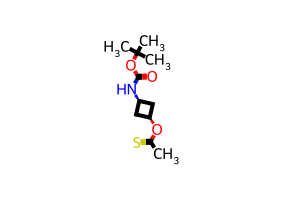 CC(=S)O[C@H]1C[C@@H](NC(=O)OC(C)(C)C)C1